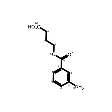 Nc1cccc(C(=O)OCCCC(=O)O)c1